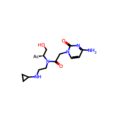 CC(=O)[C@@H](CO)N(CCNC1CC1)C(=O)Cn1ccc(N)nc1=O